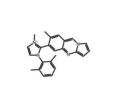 Cc1cc2cn3cccc3nc2cc1-c1n(-c2c(C)cccc2C)cc[n+]1C